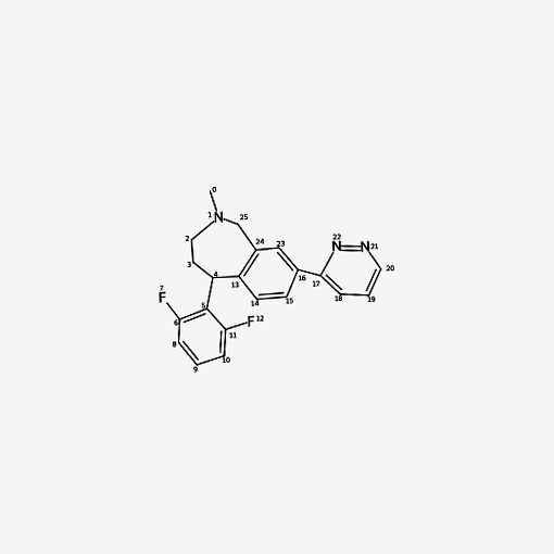 CN1CCC(c2c(F)cccc2F)c2ccc(-c3cccnn3)cc2C1